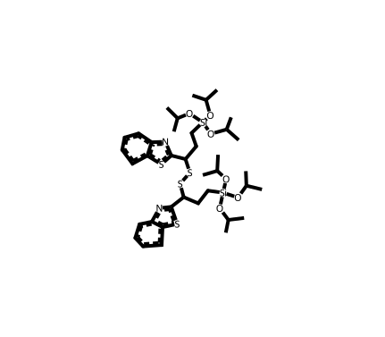 CC(C)O[Si](CCC(SSC(CC[Si](OC(C)C)(OC(C)C)OC(C)C)c1nc2ccccc2s1)c1nc2ccccc2s1)(OC(C)C)OC(C)C